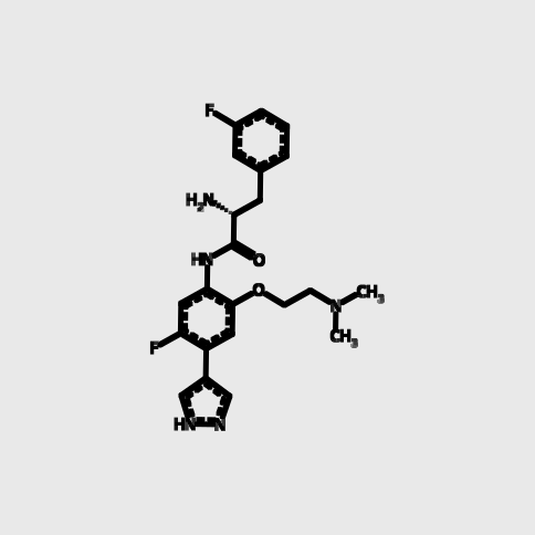 CN(C)CCOc1cc(-c2cn[nH]c2)c(F)cc1NC(=O)[C@H](N)Cc1cccc(F)c1